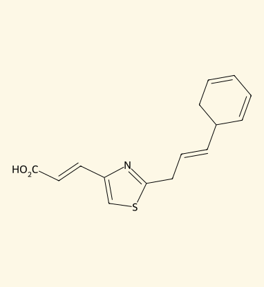 O=C(O)/C=C/c1csc(C/C=C/C2C=CC=CC2)n1